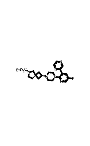 CCOC(=O)N1CC[C@]2(C1)C[C@H](N1CCN(c3ncc(F)cc3-c3cnccn3)CC1)C2